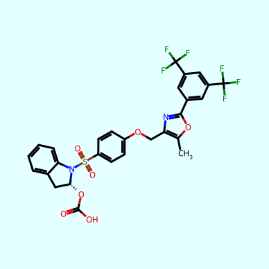 Cc1oc(-c2cc(C(F)(F)F)cc(C(F)(F)F)c2)nc1COc1ccc(S(=O)(=O)N2c3ccccc3C[C@H]2OC(=O)O)cc1